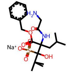 CC(C)CC(NC(=O)CN)(C(=O)OCc1ccccc1)C(O)(C(C)(C)C)S(=O)(=O)[O-].[Na+]